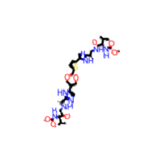 COC(=O)N[C@@H](C(=O)CN[C@H](C)c1ncc(C2COC(c3ccc(-c4cnc([C@H](C)CNC(=O)[C@H](NC(=O)OC)C(C)C)[nH]4)s3)OC2)[nH]1)C(C)C